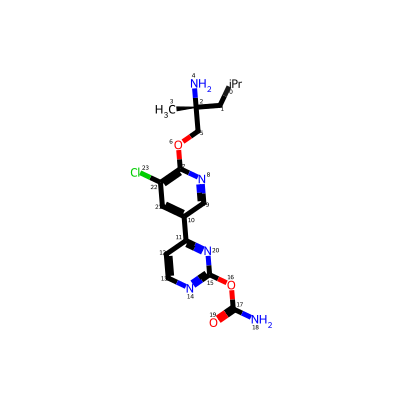 CC(C)C[C@@](C)(N)COc1ncc(-c2ccnc(OC(N)=O)n2)cc1Cl